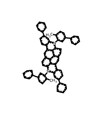 Cc1ccc(-c2ccccc2)cc1-n1c2cc(-c3ccccc3)ccc2c2cc3ccc4c5c(cc6ccc1c2c6c35)c1ccc(-c2ccccc2)cc1n4-c1cc(-c2ccccc2)ccc1C